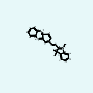 C[N+]1=C(/C=C/c2ccc3nc4ccccc4nc3c2)C(C)(C)c2ccccc21